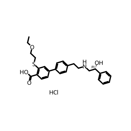 CCOCCSc1cc(-c2ccc(CCNC[C@H](O)c3ccccc3)cc2)ccc1C(=O)O.Cl